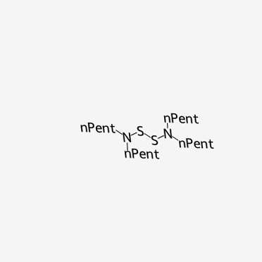 CCCCCN(CCCCC)SSN(CCCCC)CCCCC